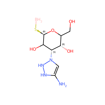 BS[C@H]1OC(CO)[C@H](O)[C@H](N2C=C(N)NN2)C1O